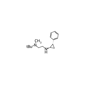 CN(CCN[C@@H]1C[C@H]1c1ccccc1)C(C)(C)C